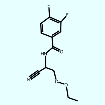 CCOOCC(C#N)NC(=O)c1ccc(F)c(F)c1